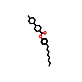 CCCCCCCCc1ccc(OC(=O)C2CCC(C3CCC(C)CC3)CC2)cc1